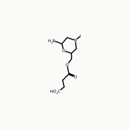 BC1CN(I)CC(COC(=O)CCC(=O)O)O1